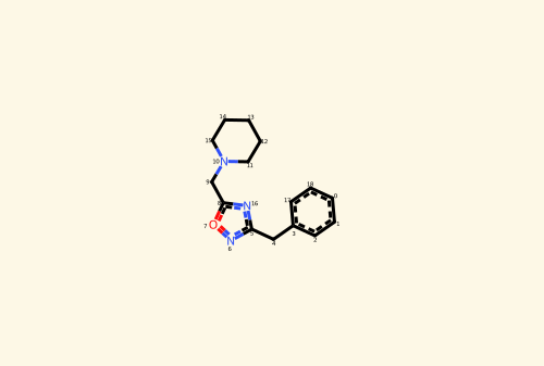 c1ccc(Cc2noc(CN3CCCCC3)n2)cc1